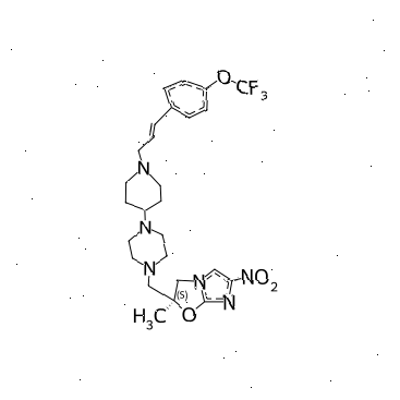 C[C@]1(CN2CCN(C3CCN(CC=Cc4ccc(OC(F)(F)F)cc4)CC3)CC2)Cn2cc([N+](=O)[O-])nc2O1